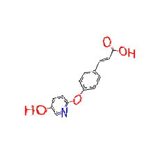 O=C(O)C=Cc1ccc(Oc2ccc(O)cn2)cc1